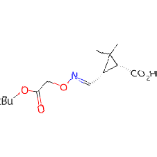 CC(C)(C)OC(=O)CON=C[C@H]1[C@@H](C(=O)O)C1(C)C